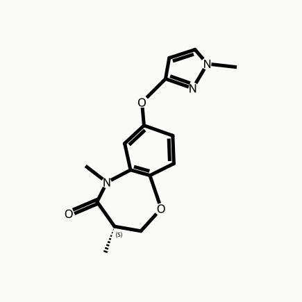 C[C@H]1COc2ccc(Oc3ccn(C)n3)cc2N(C)C1=O